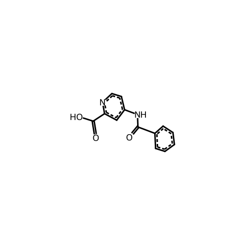 O=C(Nc1ccnc(C(=O)O)c1)c1ccccc1